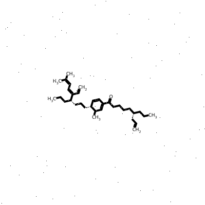 C=CC[C@@H](CCC)CCCCC(=O)C1=CC(C)[C@H](CCC[C@H](CCC)/C(C=C)=C/C=C(C)C)C=C1